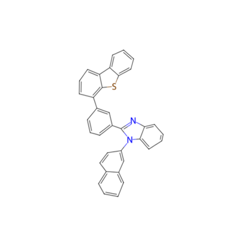 c1cc(-c2cccc3c2sc2ccccc23)cc(-c2nc3ccccc3n2-c2ccc3ccccc3c2)c1